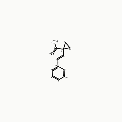 O=C(O)C1(C=Cc2ccccc2)CC1